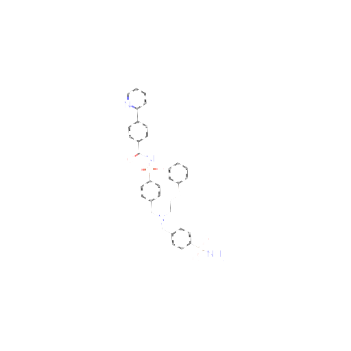 NS(=O)(=O)c1ccc(CN(CCSc2ccccc2)Cc2ccc(S(=O)(=O)NC(=O)c3ccc(-c4ccccn4)cc3)cc2)cc1